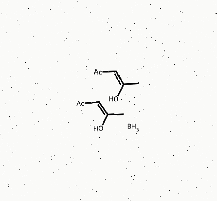 B.CC(=O)/C=C(/C)O.CC(=O)/C=C(/C)O